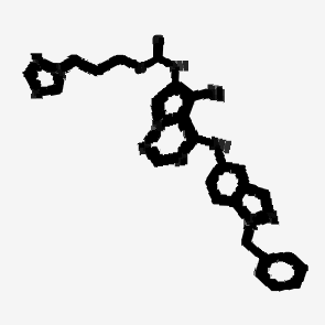 CCc1c(NC(=O)OCCCn2cncn2)cn2ncnc(Nc3ccc4c(cnn4Cc4ccccc4)c3)c12